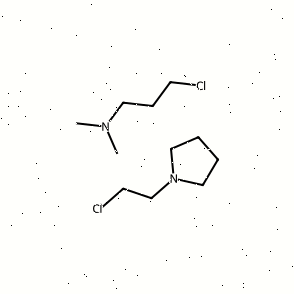 CN(C)CCCCl.ClCCN1CCCC1